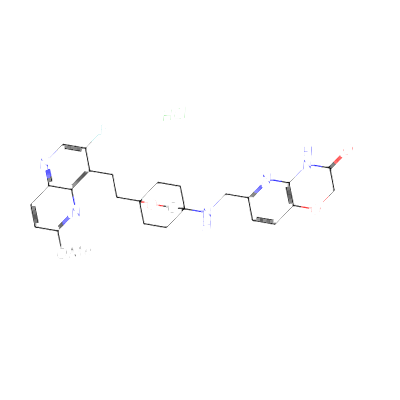 COc1ccc2ncc(F)c(CCC34CCC(NCc5ccc6c(n5)NC(=O)CO6)(CC3)CO4)c2n1.Cl